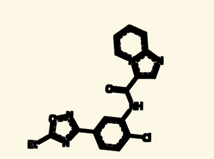 CCc1nc(-c2ccc(Cl)c(NC(=O)c3cnc4ccccn34)c2)no1